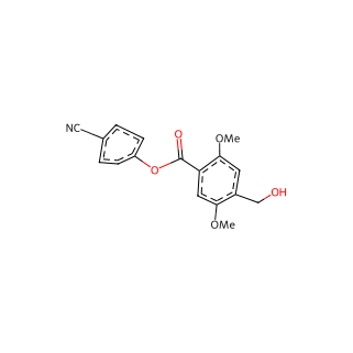 COc1cc(C(=O)Oc2ccc(C#N)cc2)c(OC)cc1CO